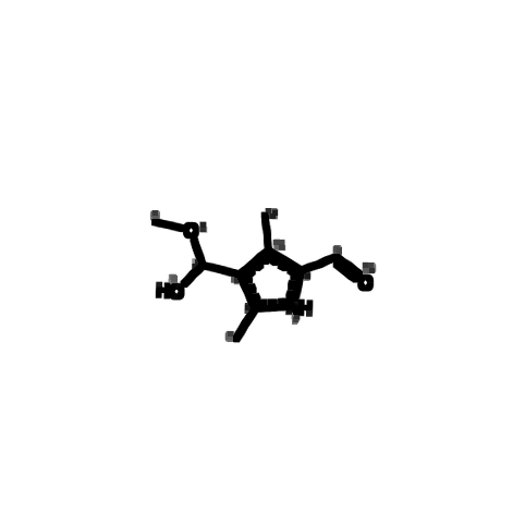 COC(O)c1c(C)[nH]c(C=O)c1C